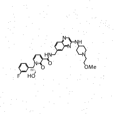 COCCN1CCC(Nc2cnc3ccc(CNC(=O)c4cccn([C@H](CO)c5cccc(F)c5)c4=O)cc3n2)CC1